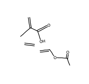 C=C.C=C(C)C(=O)O.C=COC(C)=O